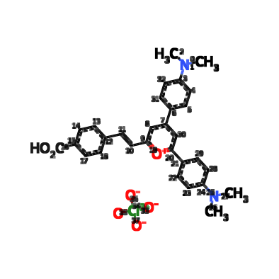 CN(C)c1ccc(-c2cc(C=Cc3ccc(C(=O)O)cc3)[o+]c(-c3ccc(N(C)C)cc3)c2)cc1.[O-][Cl+3]([O-])([O-])[O-]